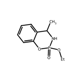 CCOP1(=O)NC(C)c2ccccc2O1